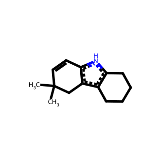 CC1(C)C=Cc2[nH]c3c(c2C1)CCCC3